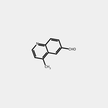 Cc1ccnc2ccc(C=O)cc12